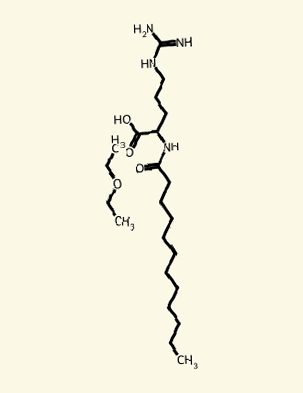 CCCCCCCCCCCC(=O)NC(CCCNC(=N)N)C(=O)O.CCOCC